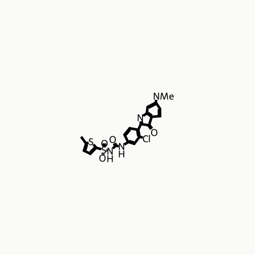 CNc1ccc2c(c1)N=C(c1ccc(NC(=O)NS(=O)(=O)c3ccc(C)s3)cc1Cl)C2=O